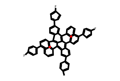 Cc1ccc(-c2ccc3c(-c4ccc(-c5ccc(F)cc5)cc4)c4c(-c5ccccc5)c5cc(-c6ccc(F)cc6)ccc5c(-c5ccc(-c6ccc(F)cc6)cc5)c4c(-c4ccccc4)c3c2)cc1